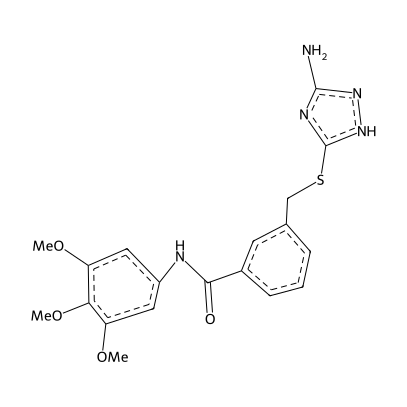 COc1cc(NC(=O)c2cccc(CSc3nc(N)n[nH]3)c2)cc(OC)c1OC